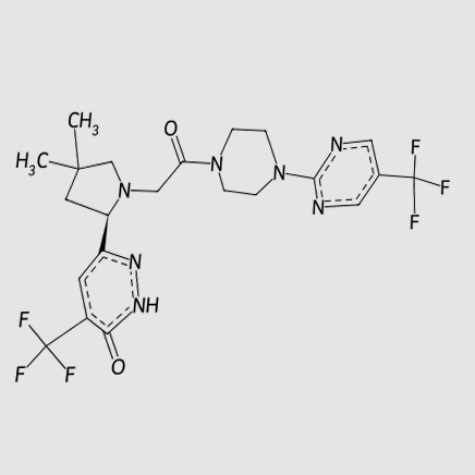 CC1(C)C[C@H](c2cc(C(F)(F)F)c(=O)[nH]n2)N(CC(=O)N2CCN(c3ncc(C(F)(F)F)cn3)CC2)C1